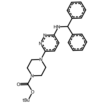 CC(C)(C)OC(=O)N1CCN(c2ccc(NC(c3ccccc3)c3ccccc3)nn2)CC1